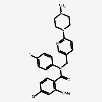 COc1cc(Cl)ccc1C(=O)N(Cc1ccc(N2CCN(C)CC2)nc1)c1ccc(F)cc1